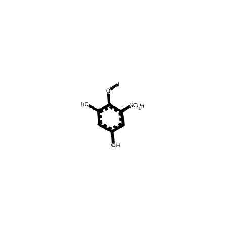 O=S(=O)(O)c1cc(O)cc(O)c1OI